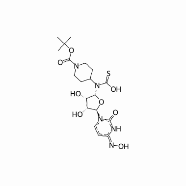 CC(C)(C)OC(=O)N1CCC(N(C(O)=S)[C@@H]2O[C@@H](n3cc/c(=N/O)[nH]c3=O)[C@H](O)[C@@H]2O)CC1